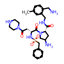 Cc1ccc(CN)c(CNC(=O)[C@@H]2CC(N)CN2C(=O)[C@@H](CC(=O)N2CCNCC2)NS(=O)(=O)Cc2ccccc2)c1